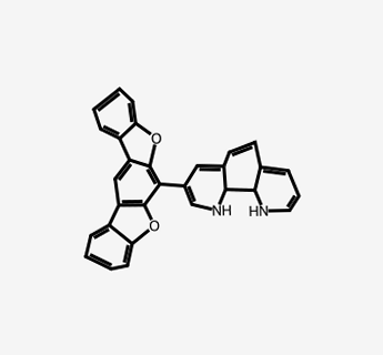 C1=CNC2C(=C1)C=CC1=CC(c3c4oc5ccccc5c4cc4c3oc3ccccc34)=CNC12